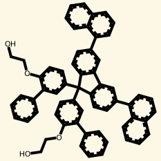 OCCOc1ccc(C2(c3ccc(OCCO)c(-c4ccccc4)c3)c3ccc(-c4cccc5ccccc45)cc3-c3cc(-c4cccc5ccccc45)ccc32)cc1-c1ccccc1